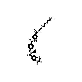 NCCOCCOCCNC(=O)c1ccc(NC(=O)c2ccc(CN(C(=O)c3ccc4c(c3)OCC(=O)N4)C3CC3)cc2)cc1